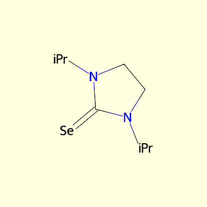 CC(C)N1CCN(C(C)C)C1=[Se]